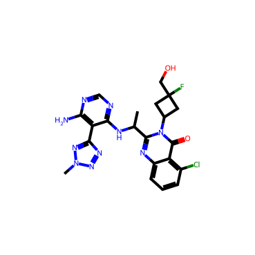 CC(Nc1ncnc(N)c1-c1nnn(C)n1)c1nc2cccc(Cl)c2c(=O)n1C1CC(F)(CO)C1